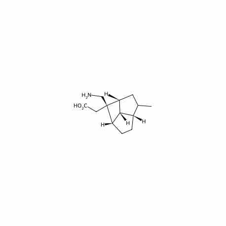 CC1C[C@@H]2[C@@H]3[C@H]1CC[C@@H]3[C@]2(CN)CC(=O)O